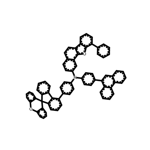 c1ccc(-c2cccc3c2oc2c4cc(N(c5ccc(-c6cccc7c6-c6ccccc6C76c7ccccc7Oc7ccccc76)cc5)c5ccc(-c6cc7ccccc7c7ccccc67)cc5)ccc4ccc32)cc1